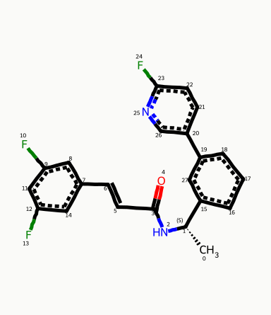 C[C@H](NC(=O)C=Cc1cc(F)cc(F)c1)c1cccc(-c2ccc(F)nc2)c1